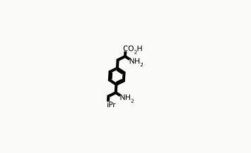 CC(C)CC(N)c1ccc(CC(N)C(=O)O)cc1